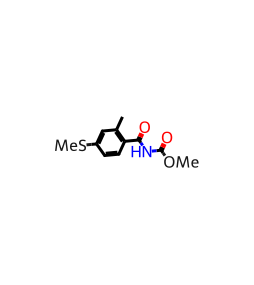 COC(=O)NC(=O)c1ccc(SC)cc1C